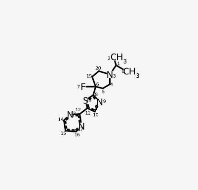 CC(C)N1CCC(F)(c2ncc(-c3ncccn3)s2)CC1